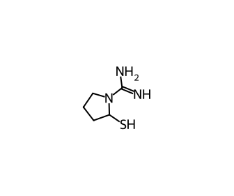 N=C(N)N1CCCC1S